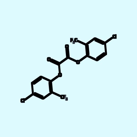 O=C(Oc1ccc(Cl)cc1C(F)(F)F)C(=O)Oc1ccc(Cl)cc1C(F)(F)F